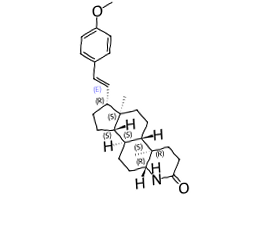 COc1ccc(/C=C/[C@H]2CC[C@H]3[C@@H]4CC[C@H]5NC(=O)CC[C@]5(C)[C@H]4CC[C@]23C)cc1